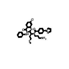 CSCCC(c1nc2cc(Cl)ccc2c(=O)n1Nc1ccccc1)N(CCCN)C(=O)c1ccc(-n2cccn2)cc1